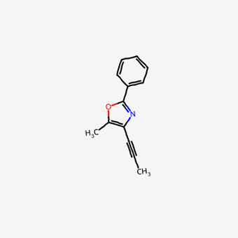 CC#Cc1nc(-c2ccccc2)oc1C